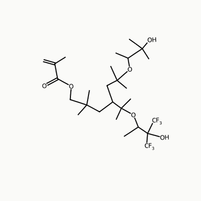 C=C(C)C(=O)OCC(C)(C)CC(CC(C)(C)OC(C)C(C)(C)O)C(C)(C)OC(C)C(O)(C(F)(F)F)C(F)(F)F